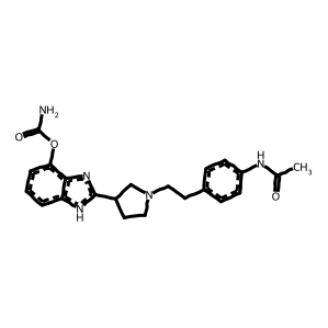 CC(=O)Nc1ccc(CCN2CCC(c3nc4c(OC(N)=O)cccc4[nH]3)C2)cc1